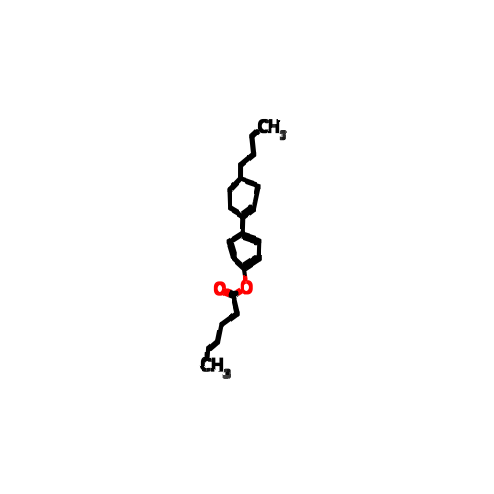 CCCCCC(=O)Oc1ccc(C2=CCC(CCCC)CC2)cc1